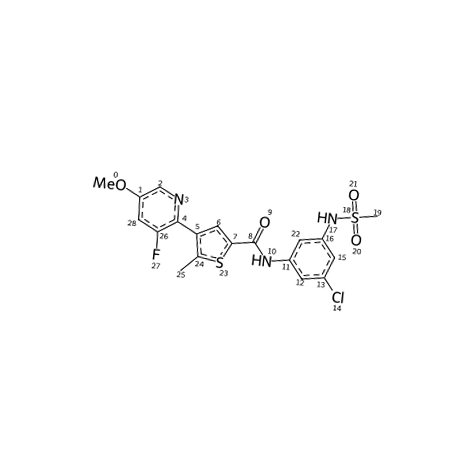 COc1cnc(-c2cc(C(=O)Nc3cc(Cl)cc(NS(C)(=O)=O)c3)sc2C)c(F)c1